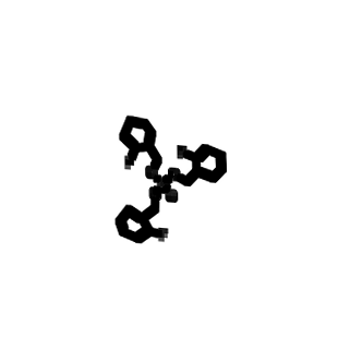 O=P(OCc1ccccc1F)(OCc1ccccc1F)OCc1ccccc1F